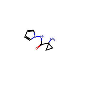 NC1(C(=O)Nn2cccc2)CC1